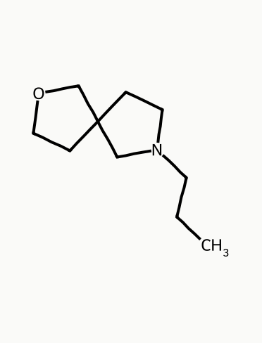 CCCN1CCC2(CCOC2)C1